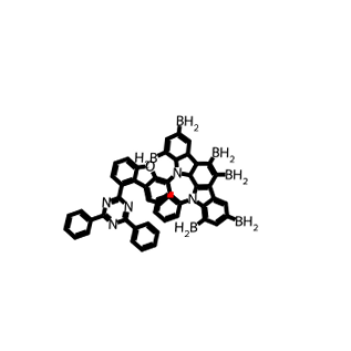 BC1=CC2C3C(B)=C(B)c4c(n(-c5ccccc5)c5c(B)cc(B)cc45)C3N(c3cccc4c3oc3cccc(-c5nc(-c6ccccc6)nc(-c6ccccc6)n5)c34)C2C(B)=C1